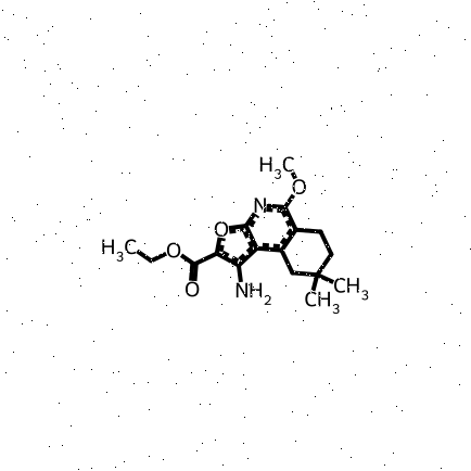 CCOC(=O)c1oc2nc(OC)c3c(c2c1N)CC(C)(C)CC3